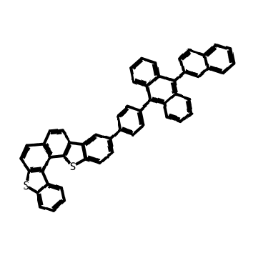 c1ccc2cc(-c3c4ccccc4c(-c4ccc(-c5ccc6sc7c(ccc8ccc9sc%10ccccc%10c9c87)c6c5)cc4)c4ccccc34)ccc2c1